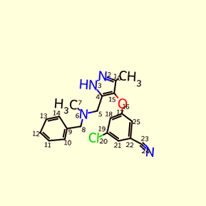 Cc1n[nH]c(CN(C)Cc2ccccc2)c1Oc1cc(Cl)cc(C#N)c1